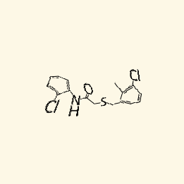 Cc1c(Cl)cccc1CSCC(=O)Nc1ccccc1Cl